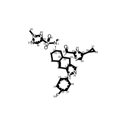 CN([C@H]1CCC2=Cc3c(cnn3-c3ccc(F)cc3)C[C@]2(C(=O)c2nc(C3CC3)cs2)C1)S(=O)(=O)c1cnn(C)n1